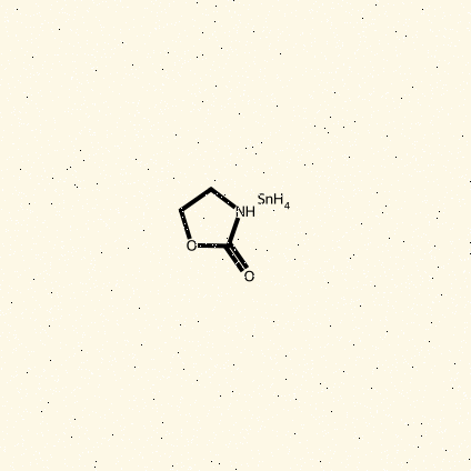 O=C1NCCO1.[SnH4]